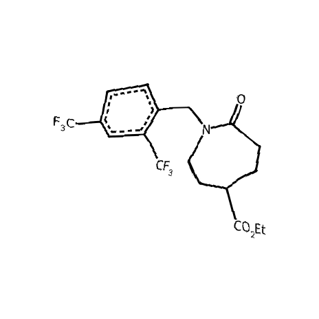 CCOC(=O)C1CCC(=O)N(Cc2ccc(C(F)(F)F)cc2C(F)(F)F)CC1